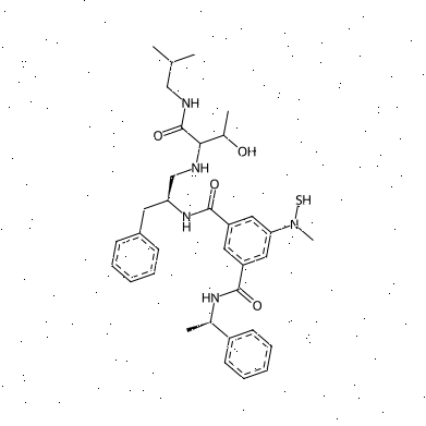 CC(C)CNC(=O)C(NC[C@H](Cc1ccccc1)NC(=O)c1cc(C(=O)N[C@H](C)c2ccccc2)cc(N(C)S)c1)C(C)O